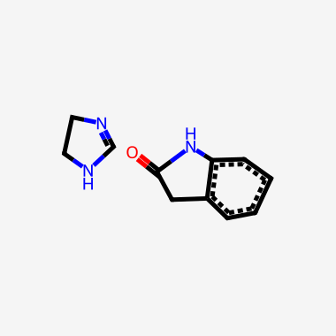 C1=NCCN1.O=C1Cc2ccccc2N1